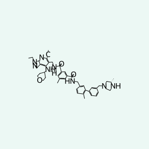 CCc1nc2c(cnn2CC)c(NC2CCOCC2)c1CNC(=O)c1cc(C)cc(C(=O)NCc2ccc(C)c(-c3cccc(CN4CCN[C@@H](C)C4)c3)c2)c1